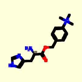 C[N+](C)(C)c1ccc(COC(=O)[C@@H](N)Cc2c[nH]cn2)cc1